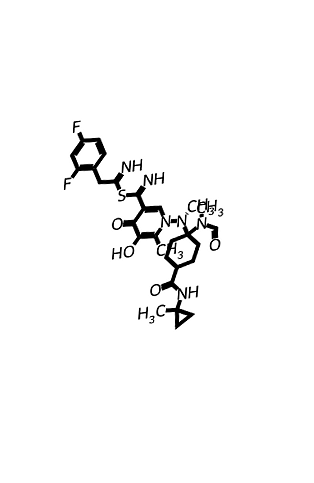 Cc1c(O)c(=O)c(C(=N)SC(=N)Cc2ccc(F)cc2F)cn1N(C)C1(N(C)C=O)CCC(C(=O)NC2(C)CC2)CC1